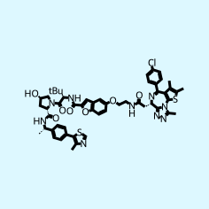 Cc1ncsc1-c1ccc([C@H](C)NC(=O)[C@@H]2C[C@@H](O)CN2C(=O)[C@@H](NC(=O)c2cc3cc(OCCNC(=O)C[C@@H]4N=C(c5ccc(Cl)cc5)c5c(sc(C)c5C)-n5c(C)nnc54)ccc3o2)C(C)(C)C)cc1